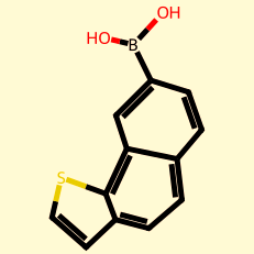 OB(O)c1ccc2ccc3ccsc3c2c1